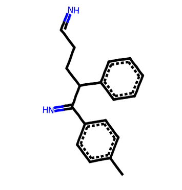 Cc1ccc(C(=N)C(CCC=N)c2ccccc2)cc1